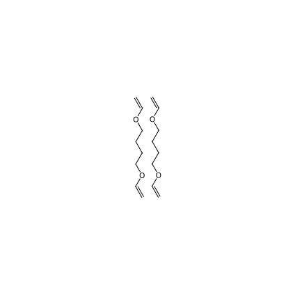 C=COCCCCOC=C.C=COCCCCOC=C